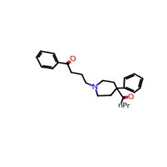 CCCC(=O)C1(c2ccccc2)CCN(CCCC(=O)c2ccccc2)CC1